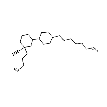 CCCCCCCC1CCC(C2CCCC(C#N)(CCCC)C2)CC1